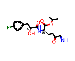 CC(C)OC(=O)[C@H](CCC(=O)C=N)NC(=O)[C@@H](O)Cc1ccc(F)cc1